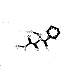 CCCCCCCCCNN(C(=O)C(=O)NN)C(=O)c1ccccc1